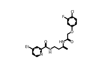 C=C(CCNC(=O)c1cc(CC)ccn1)NC(=O)COc1ccc(Cl)c(F)c1